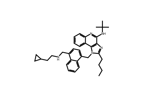 CCCCc1nc2c(NC(C)(C)C)nc3ccccc3c2n1Cc1ccc(CNCCC2CC2)c2ccccc12